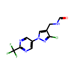 O=CNCc1cn(-c2cnc(C(F)(F)F)nc2)nc1Cl